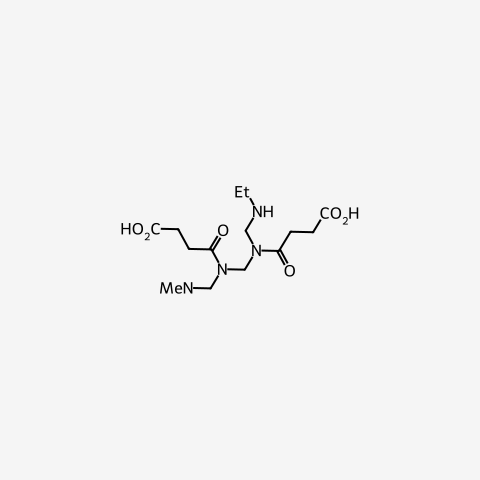 CCNCN(CN(CNC)C(=O)CCC(=O)O)C(=O)CCC(=O)O